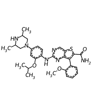 COc1ccccc1-c1c(C(N)=O)sc2cnc(Nc3ccc(N4CC(C)NC(C)C4)cc3OC(C)C)nc12